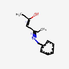 C/C(O)=C/C(C)=N/c1ccccc1